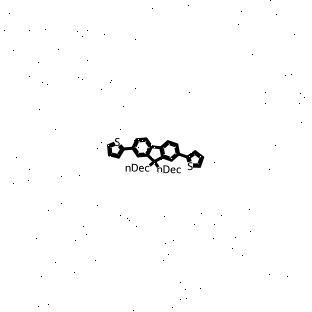 CCCCCCCCCCC1(CCCCCCCCCC)c2cc(-c3cccs3)ccc2-c2ccc(-c3cccs3)cc21